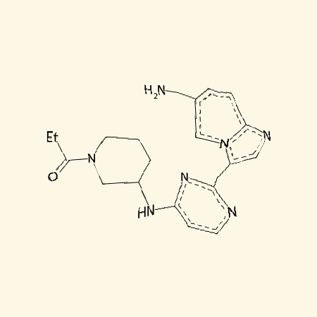 CCC(=O)N1CCCC(Nc2ccnc(-c3cnc4ccc(N)cn34)n2)C1